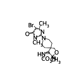 Cc1nc(N2CCC3(CC2)CO[C@@H](C)[C@H]3NC(=O)O)n(C)c(=O)c1Br